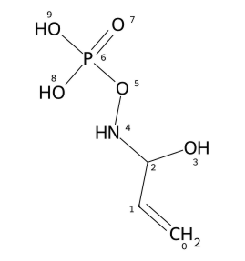 C=CC(O)NOP(=O)(O)O